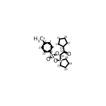 Cc1ccc(S(=O)(=O)OS2(CC(=O)C3CCCC3)CCCC2)cc1